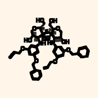 C=CCOc1cc(N[C@H]2[C@@H](O)CO[C@H](CO)[C@]2(O)S[C@@]2(O)[C@@H](CO)OC[C@H](O)[C@@H]2Nc2cc(OCC=C)cc(OCc3ccccc3)c2)cc(OCc2ccccc2)c1